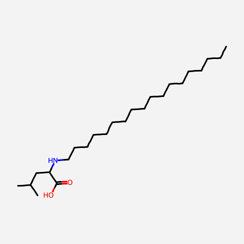 CCCCCCCCCCCCCCCCCCNC(CC(C)C)C(=O)O